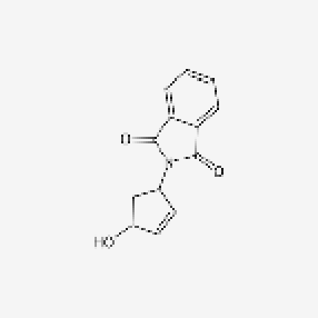 O=C1c2ccccc2C(=O)N1C1C=CC(O)C1